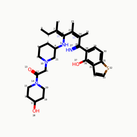 CC/C(C)=C(NC1CCCN(CC(=O)N2CCC(O)CC2)C1)/C(C)=C(/C)C(=N)c1ccc2sccc2c1O